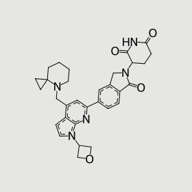 O=C1CCC(N2Cc3cc(-c4cc(CN5CCCCC56CC6)c5ccn(C6COC6)c5n4)ccc3C2=O)C(=O)N1